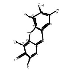 O=c1c(Cl)cc2nc3cc(Cl)c(O)c(Cl)c3oc-2c1Cl